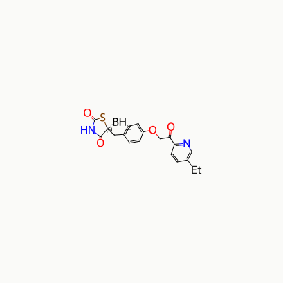 B[C@@]1(Cc2ccc(OCC(=O)c3ccc(CC)cn3)cc2)SC(=O)NC1=O